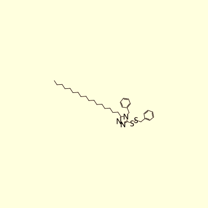 CCCCCCCCCCCCCCCCCc1nnc(SSCc2ccccc2)n1Cc1ccccc1